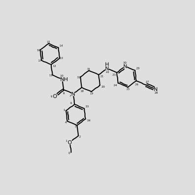 COCc1ccc(N(C(=O)NCc2ccccc2)C2CCC(Nc3ccc(C#N)cn3)CC2)cc1